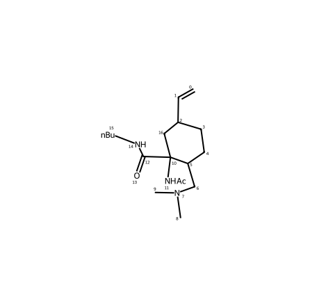 C=CC1CCC(CN(C)C)C(NC(C)=O)(C(=O)NCCCC)C1